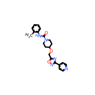 Cc1ccccc1NC(=O)N1CCC(OCc2nc(-c3ccncc3)no2)CC1